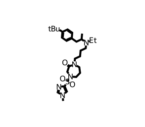 CCN(CCCCN1CCCN(S(=O)(=O)c2cn(C)cn2)CC1=O)C(C)Cc1ccc(C(C)(C)C)cc1